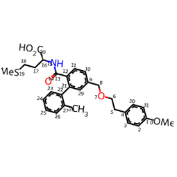 COc1ccc(CCOCc2ccc(C(=O)N[C@@H](CCSC)C(=O)O)c(-c3ccccc3C)c2)cc1